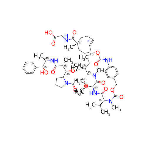 CC[C@H](C)[C@@H](C(CC(=O)N1CCCC1[C@H](OC)[C@@H](C)C(=O)N[C@H](C)[C@@H](O)c1ccccc1)OC)N(C)C(=O)[C@@H](NC(=O)[C@H](C(C)C)N(C)C(=O)OCc1ccc(NC(=O)O[C@H]2/C=C/CC[C@@](C)(C(=O)NCC(=O)O)CC2)cc1)C(C)C